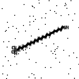 SCCCCCCCCCCCCCCCCCCCCCCCC[SiH](Cl)Cl